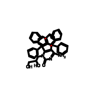 Nc1nc(=O)n(CC(O)CO)c(C(c2ccccc2)(c2ccccc2)c2ccccc2)c1C(c1ccccc1)(c1ccccc1)c1ccccc1